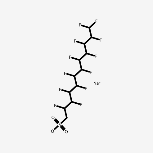 O=S(=O)([O-])CC(F)C(F)C(F)C(F)C(F)C(F)C(F)C(F)C(F)C(F)C(F)F.[Na+]